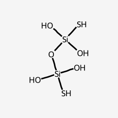 O[Si](O)(S)O[Si](O)(O)S